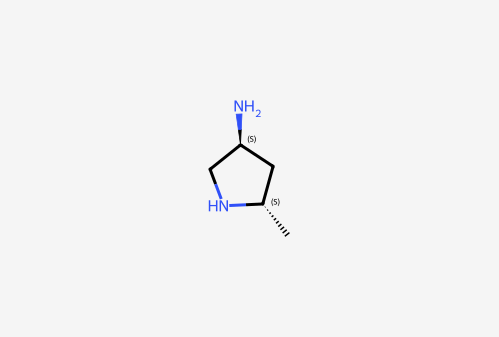 C[C@H]1C[C@H](N)CN1